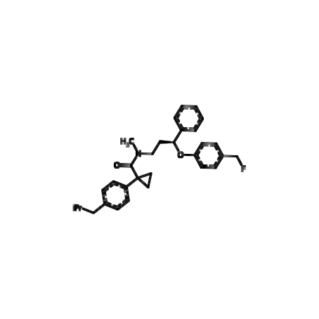 CC(C)Cc1ccc(C2(C(=O)N(C)CC[C@H](Oc3ccc(CF)cc3)c3ccccc3)CC2)cc1